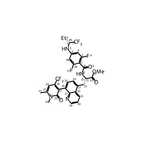 CC[C@@H](Nc1cc(F)c(C(=O)N[C@@H](Cc2ccc(-c3c(C(F)(F)F)cc(C)n(C)c3=O)c3ncccc23)C(=O)OC)c(F)c1)C(F)(F)F